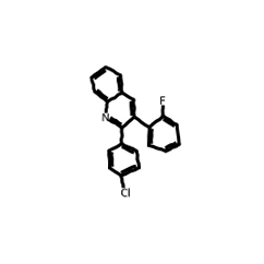 Fc1ccccc1-c1cc2ccccc2nc1-c1ccc(Cl)cc1